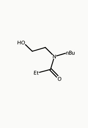 CCCCN(CCO)C(=O)CC